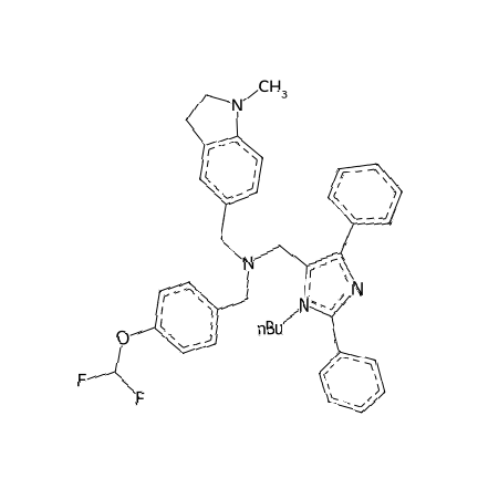 CCCCn1c(-c2ccccc2)nc(-c2ccccc2)c1CN(Cc1ccc(OC(F)F)cc1)Cc1ccc2c(c1)CCN2C